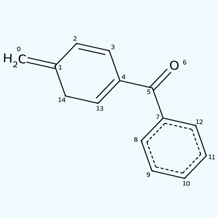 C=C1C=CC(C(=O)c2ccccc2)=CC1